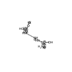 CCn1c(-c2nonc2N)nc2c(C#CC(C)(C)O)ncc(OCCCNCCCC(=O)NCCCCCCCCCC(=O)NC(C(=O)N3C[C@H](O)C[C@H]3C(=O)NCc3ccc(-c4scnc4C)cc3)C(C)(C)C)c21